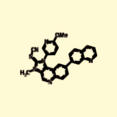 COc1ccc(-n2c(=NC#N)n(C)c3cnc4ccc(-c5ccc6cccnc6c5)cc4c32)cn1